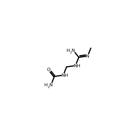 C/N=C(\N)NCNC(N)=O